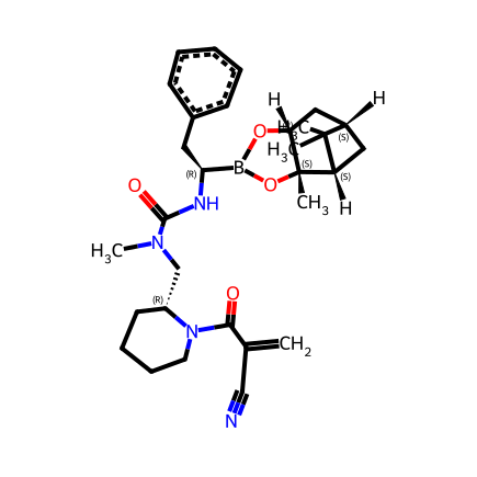 C=C(C#N)C(=O)N1CCCC[C@@H]1CN(C)C(=O)N[C@@H](Cc1ccccc1)B1O[C@@H]2C[C@@H]3C[C@@H](C3(C)C)[C@]2(C)O1